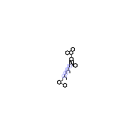 C=C\C(=C/C=C/C(C=C)=C/C=C/N(c1ccccc1)c1ccc(-c2cc3ccccc3c3ccccc23)cc1)CCc1ccccc1-c1ccccc1